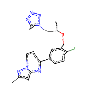 Cc1cc2nc(-c3ccc(F)c(OC(C)Cn4cnnn4)c3)ccn2n1